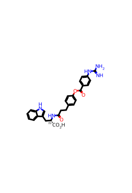 N=C(N)Nc1ccc(C(=O)Oc2ccc(CCC(=O)N[C@@H](Cc3c[nH]c4ccccc34)C(=O)O)cc2)cc1